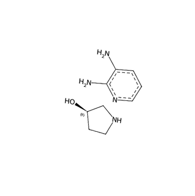 Nc1cccnc1N.O[C@@H]1CCNC1